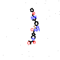 O=C(Nc1nc2ccc(-c3cnc(COC4CCCC4)nc3)cc2s1)C1CC2(CCN(C(=O)C3COC3)CC2)C1